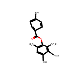 CCCc1ccc(C(=O)Oc2c(C)cc(C(C)(C)C)c(NC)c2C(=O)OCC)cc1